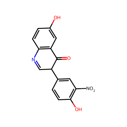 O=C1c2cc(O)ccc2N=CC1c1ccc(O)c([N+](=O)[O-])c1